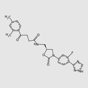 Cc1ccc(C(=O)CCC(=O)NC[C@H]2CN(c3ccc(-c4nc[nH]n4)c(F)c3)C(=O)O2)c(C)c1